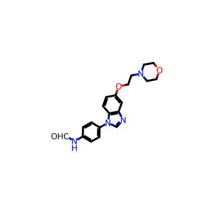 O=CNc1ccc(-n2cnc3cc(OCCN4CCOCC4)ccc32)cc1